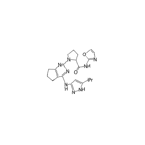 CC(C)c1cc(Nc2nc(N3CCCC3C(=O)Nc3ncco3)nc3c2CCC3)n[nH]1